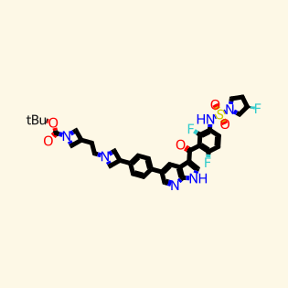 CC(C)(C)OC(=O)N1CC(CCN2CC(c3ccc(-c4cnc5[nH]cc(C(=O)c6c(F)ccc(NS(=O)(=O)N7CC[C@@H](F)C7)c6F)c5c4)cc3)C2)C1